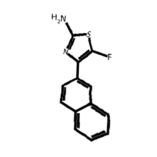 Nc1nc(-c2ccc3ccccc3c2)c(F)s1